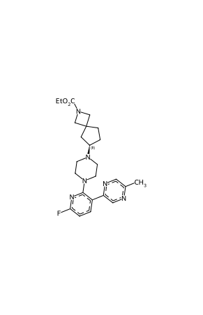 CCOC(=O)N1CC2(CC[C@@H](N3CCN(c4nc(F)ccc4-c4cnc(C)cn4)CC3)C2)C1